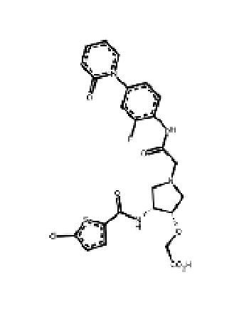 O=C(O)CO[C@H]1CN(CC(=O)Nc2ccc(-n3ccccc3=O)cc2F)C[C@H]1NC(=O)c1ccc(Cl)s1